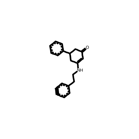 O=C1C=C(NCCc2cc#ccc2)CC(c2ccccc2)C1